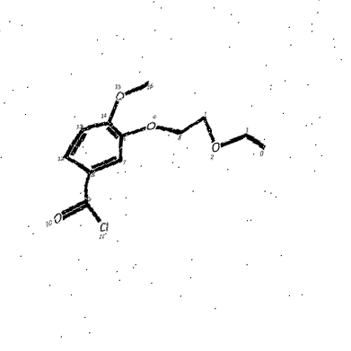 CCOCCOc1cc(C(=O)Cl)ccc1OC